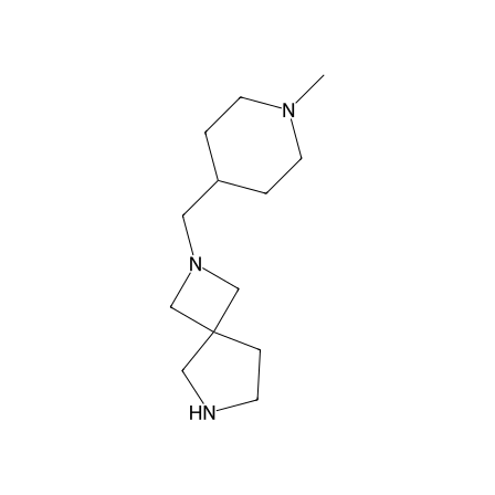 CN1CCC(CN2CC3(CCNC3)C2)CC1